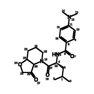 CC(C)C[C@H](NC(=O)c1ccc(N(C)C)cc1)C(=O)N1CCCC2OCC(=O)C21